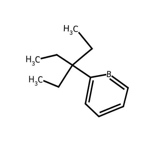 CCC(CC)(CC)c1bcccc1